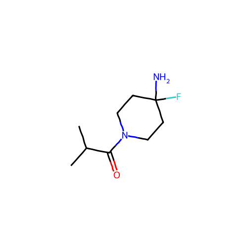 CC(C)C(=O)N1CCC(N)(F)CC1